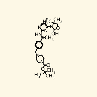 C[C@H](Nc1ncc(F)c(N2C(O)OCC2(C)C)n1)c1ccc(CN2CCN(C(=O)OC(C)(C)C)CC2)cc1